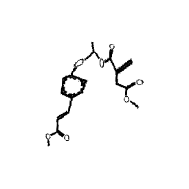 C=C(CC(=O)OC)C(=O)OC(C)Oc1ccc(/C=C/C(=O)OC)cc1